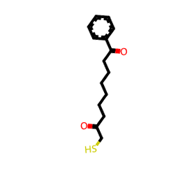 O=C(CS)CCCCCCC(=O)c1ccccc1